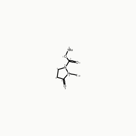 CC(C)(C)OC(=O)N1CCC(=O)N1I